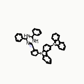 N=C(NC(/N=C/c1cccc(-n2c3ccccc3c3cc(-n4c5ccccc5c5ccccc54)ccc32)c1)c1ccccc1)c1ccccc1